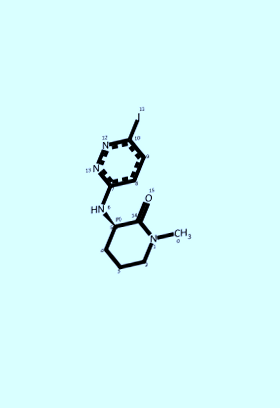 CN1CCC[C@@H](Nc2ccc(I)nn2)C1=O